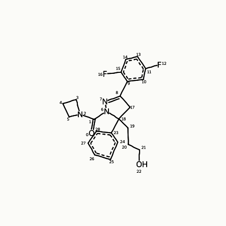 O=C(N1CCC1)N1N=C(c2cc(F)ccc2F)CC1(CCCO)c1ccccc1